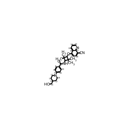 CC1(C)C(NC(=O)c2ccc(N3CCC(CO)CC3)cc2)C(C)(C)C1Oc1ccc(C#N)c2ncccc12